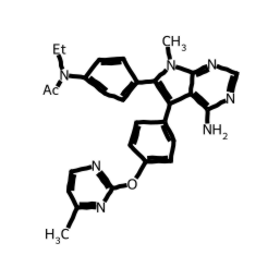 CCN(C(C)=O)c1ccc(-c2c(-c3ccc(Oc4nccc(C)n4)cc3)c3c(N)ncnc3n2C)cc1